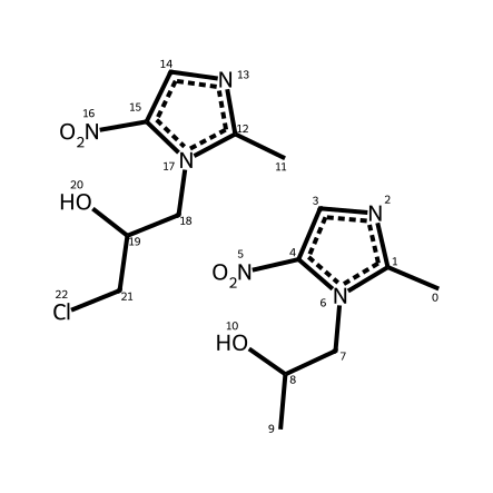 Cc1ncc([N+](=O)[O-])n1CC(C)O.Cc1ncc([N+](=O)[O-])n1CC(O)CCl